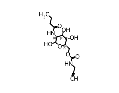 C#CCNC(=O)OC[C@H]1OC(O)[C@H](NC(=O)CCC)[C@@H](O)[C@@H]1O